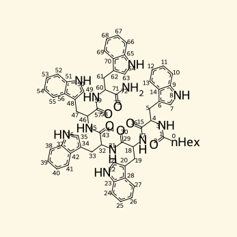 CCCCCCC(=O)NC(Cc1c[nH]c2ccccc12)C(=O)NC(Cc1c[nH]c2ccccc12)C(=O)NC(Cc1c[nH]c2ccccc12)C(=O)NC(Cc1c[nH]c2ccccc12)C(=O)NC(Cc1c[nH]c2ccccc12)C(N)=O